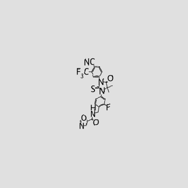 CC1(C)C(=O)N(c2ccc(C#N)c(C(F)(F)F)c2)C(=S)N1c1ccc(CNC(=O)c2cnco2)c(F)c1